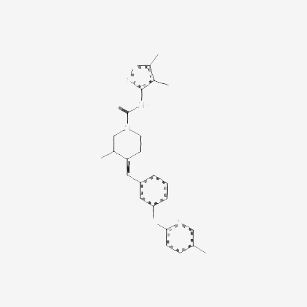 Cc1ccc(Oc2cccc(C=C3CCN(C(=O)Nc4noc(C)c4C)CC3C)c2)nc1